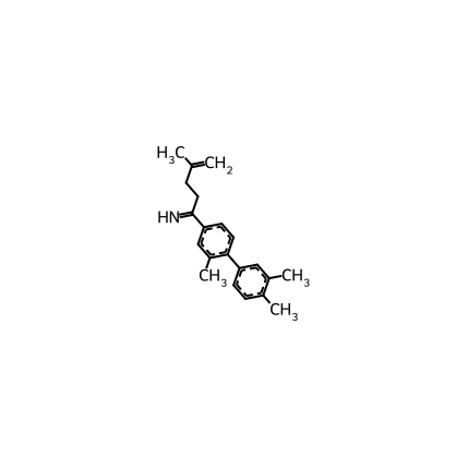 C=C(C)CCC(=N)c1ccc(-c2ccc(C)c(C)c2)c(C)c1